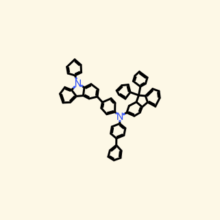 C1=C2c3ccccc3C(c3ccccc3)(c3ccccc3)C2CC(N(c2ccc(-c3ccccc3)cc2)c2ccc(-c3ccc4c(c3)c3ccccc3n4-c3ccccc3)cc2)=C1